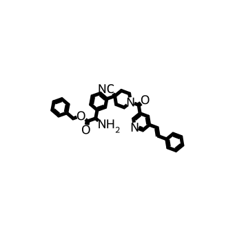 N#CC1(c2cccc(C(N)C(=O)OCc3ccccc3)c2)CCN(C(=O)c2cncc(C=Cc3ccccc3)c2)CC1